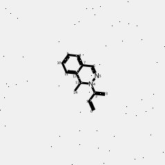 C=CC(=C)N1N=Cc2ccccc2C1C